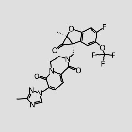 Cc1ncn(-c2ccc3n(c2=O)CCN(C[C@]24C(=O)[C@@]2(C)Oc2cc(F)c(OC(F)(F)F)cc24)C3=O)n1